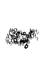 COc1c(CN2O[C@@H](CO)[C@@H]([C@H](C)O)[C@H]2C(=O)N[C@H]2C[C@@H](C)C(C)(C)[C@@H](C)[C@@H]2C)cccc1-c1cc(C(=O)N[C@@H](Cc2ccccc2)CN(C)C)cc(N(C)CC(N)=O)c1